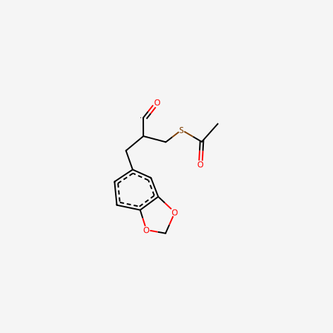 CC(=O)SCC([C]=O)Cc1ccc2c(c1)OCO2